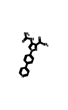 NC(=O)Nc1cn(-c2ccc(-c3ccncc3)cc2)nc1C(N)=O